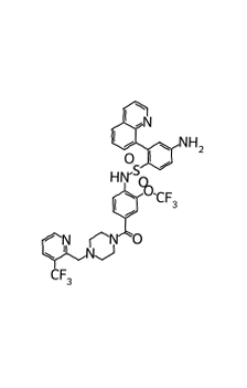 Nc1ccc(S(=O)(=O)Nc2ccc(C(=O)N3CCN(Cc4ncccc4C(F)(F)F)CC3)cc2OC(F)(F)F)c(-c2cccc3cccnc23)c1